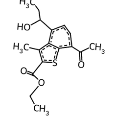 CCOC(=O)c1sc2c(C(C)=O)ccc(C(O)CC)c2c1C